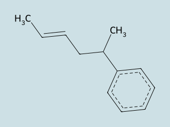 C/C=C/CC(C)c1ccccc1